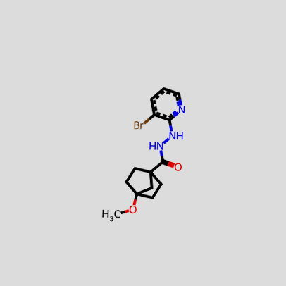 COC12CCC(C(=O)NNc3ncccc3Br)(CC1)C2